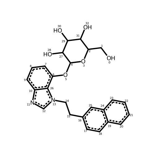 OCC1OC(Oc2cccc3ncn(CCc4ccc5ccccc5c4)c23)C(O)C(O)C1O